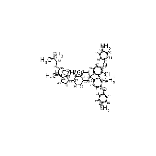 Cc1cc(C2(c3ccc(Oc4ccc(N)cc4)c(C)c3)CCC3(C)C(CCC4C3CCC3(C)C(C(C)CCCC(C)C)CCC43)C2)ccc1Oc1ccc(N)cc1